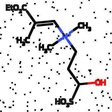 CCOC(=O)C(C)=C[N+](C)(C)CCC(O)S(=O)(=O)O